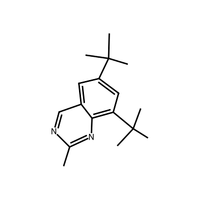 Cc1ncc2cc(C(C)(C)C)cc(C(C)(C)C)c2n1